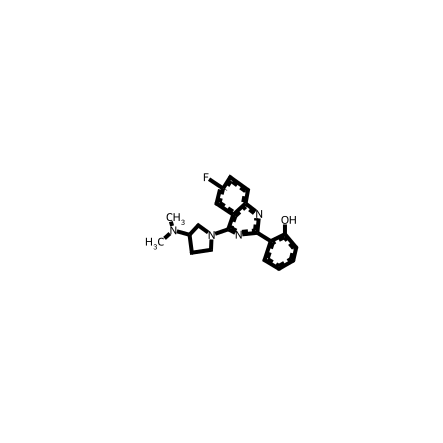 CN(C)C1CCN(c2nc(-c3ccccc3O)nc3ccc(F)cc23)C1